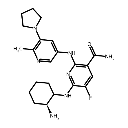 Cc1ncc(Nc2nc(NC3CCCC[C@@H]3N)c(F)cc2C(N)=O)cc1N1CCCC1